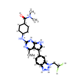 COc1nc(NC2CCC(C(=O)N(C)C)CC2)nc2[nH]cc(-c3ccc4nnn(CC(F)F)c4c3)c12